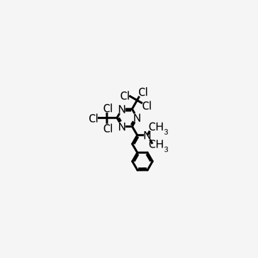 CN(C)C(=Cc1ccccc1)c1nc(C(Cl)(Cl)Cl)nc(C(Cl)(Cl)Cl)n1